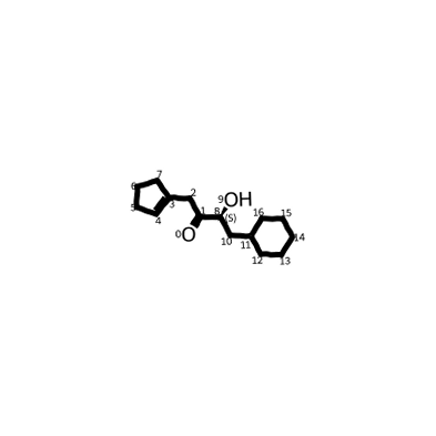 O=C(CC1=CCCC1)[C@@H](O)CC1CCCCC1